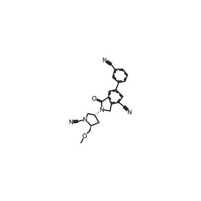 COC[C@@H]1C[C@@H](N2Cc3c(C#N)cc(-c4cccc(C#N)c4)cc3C2=O)CN1C#N